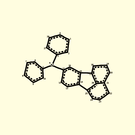 c1ccc(N(c2ccccc2)c2ccc3c(c2)-c2cccc4cccc-3c24)cc1